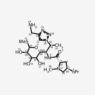 CCC[C@@H]1C[C@@H](C(=O)N[C@@H]([C@H]2OC(SC)[C@H](O)C(O)C2O)[C@H](C)n2cc(CN)nn2)N(C)C1